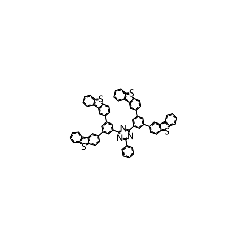 c1ccc(-c2nc(-c3cc(-c4ccc5sc6ccccc6c5c4)cc(-c4ccc5sc6ccccc6c5c4)c3)nc(-c3cc(-c4ccc5sc6ccccc6c5c4)cc(-c4ccc5sc6ccccc6c5c4)c3)n2)cc1